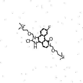 C[Si](C)(C)CCOCN1c2c(c3ccn(COCC[Si](C)(C)C)c(=O)c3c3cc(F)ccc23)NC1Cl